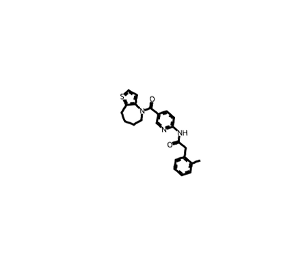 Cc1ccccc1CC(=O)Nc1ccc(C(=O)N2CCCCc3sccc32)cn1